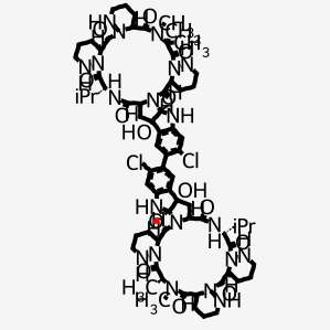 CC(C)[C@H]1NC(=O)[C@@H]2C[C@@]3(O)c4cc(-c5cc6c(cc5Cl)N[C@H]5N7C(=O)[C@@H]8CCCNN8C(=O)C(C)(C)N(C)C(=O)[C@H]8CCCNN8C(=O)[C@@H]8CCCNN8C(=O)[C@@H](C(C)C)NC(=O)[C@@H]7C[C@@]65O)c(Cl)cc4N[C@H]3N2C(=O)[C@@H]2CCCNN2C(=O)[C@H](C)N(C)C(=O)[C@H]2CCCNN2C(=O)[C@@H]2CCCNN2C1=O